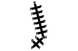 FC(F)(F)C(F)(F)NC(F)(F)C(F)(F)C(F)(F)C(F)(F)C(F)(F)C(F)(F)F